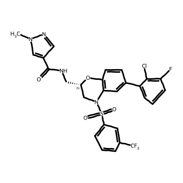 Cn1cc(C(=O)NC[C@H]2CN(S(=O)(=O)c3cccc(C(F)(F)F)c3)c3cc(-c4cccc(F)c4Cl)ccc3O2)cn1